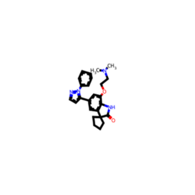 CN(C)CCOc1cc(-c2ccnn2-c2ccccc2)cc2c1NC(=O)C21CCCC1